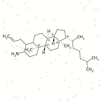 C=CCC1C(N)CC[C@@]2(C)C1CC[C@H]1[C@@H]3CC[C@H](C(C)CCCC(C)C)[C@@]3(C)CC[C@@H]12